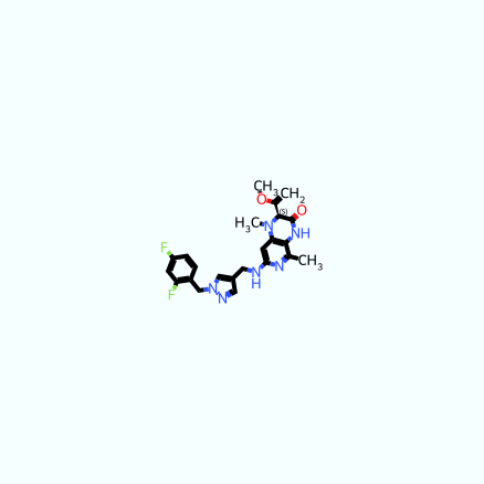 C=C(OC)[C@H]1C(=O)Nc2c(cc(NCc3cnn(Cc4ccc(F)cc4F)c3)nc2C)N1C